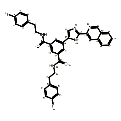 O=C(NCCc1ccc(F)cc1)c1cc(C(=O)NCCc2ccc(F)cc2)cc(-c2cnc(-c3cc4ccccc4cn3)[nH]2)c1